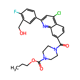 CCCOC(=O)N1CCN(C(=O)c2ccc3c(Cl)cc(-c4ccc(F)c(CO)c4)nc3c2)CC1